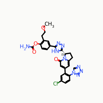 COCCc1cc(-c2nnc([C@@H]3CCc4cc(-c5cc(Cl)ccc5-n5cnnn5)cc(=O)n43)[nH]2)ccc1OC(N)=O